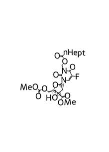 CCCCCCCC(=O)OCn1c(=O)c(F)cn([C@H]2C[C@@](O)(C(=O)OC)[C@@H](COC(=O)OC)O2)c1=O